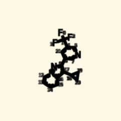 FC(F)(F)c1cncc(-c2nn3ccccc3c2C2CC2)c1